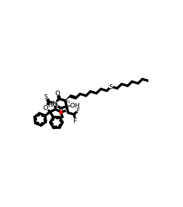 CCCCCCCSCCCCCCC=C[C@H](C(=O)N1C(=S)OC(c2ccccc2)(c2ccccc2)C1C(C)C)[C@@](O)(CC(F)F)C(=O)O